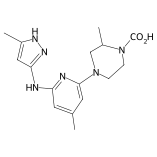 Cc1cc(Nc2cc(C)[nH]n2)nc(N2CCN(C(=O)O)C(C)C2)c1